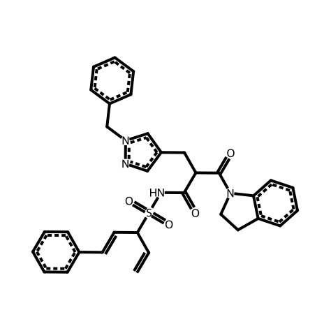 C=CC(C=Cc1ccccc1)S(=O)(=O)NC(=O)C(Cc1cnn(Cc2ccccc2)c1)C(=O)N1CCc2ccccc21